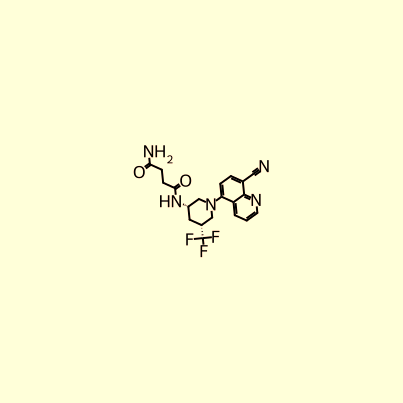 N#Cc1ccc(N2C[C@@H](NC(=O)CCC(N)=O)C[C@@H](C(F)(F)F)C2)c2cccnc12